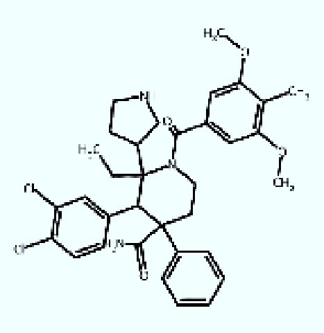 CCC1(C2CCNC2)C(c2ccc(Cl)c(Cl)c2)C(C(N)=O)(c2ccccc2)CCN1C(=O)c1cc(OC)c(C)c(OC)c1